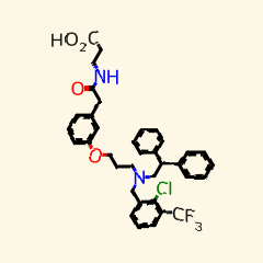 O=C(O)CCNC(=O)Cc1cccc(OCCCN(Cc2cccc(C(F)(F)F)c2Cl)CC(c2ccccc2)c2ccccc2)c1